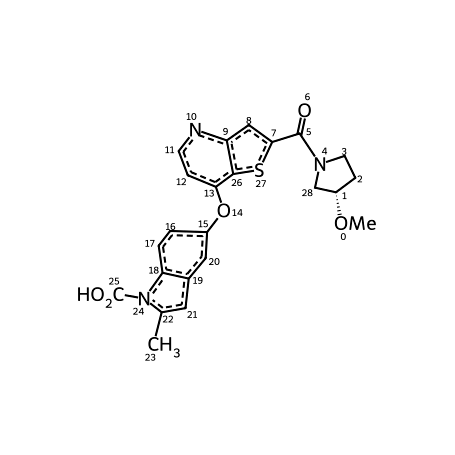 CO[C@H]1CCN(C(=O)c2cc3nccc(Oc4ccc5c(c4)cc(C)n5C(=O)O)c3s2)C1